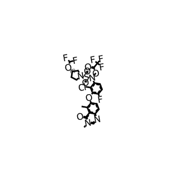 Cc1c(Oc2c(F)ccc(N(OC(=O)C(F)(F)F)S(=O)(=O)N3CC[C@@H](OC(F)F)C3)c2Cl)ccc2ncn(C)c(=O)c12